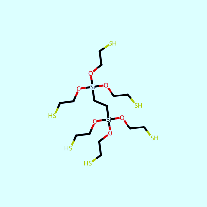 SCCO[Si](CC[Si](OCCS)(OCCS)OCCS)(OCCS)OCCS